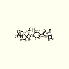 CCC1C(N2CCC(C(=O)NC3(CF)CCC3)CC2)CC12CCN(C(=O)O)C2